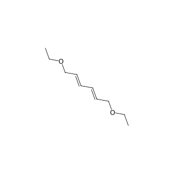 CCOC/C=C/C=C/COCC